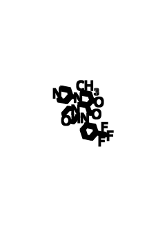 Cc1cc(=O)c(C(=O)Nc2cccc(C(F)(F)F)c2)c(N2CCOCC2)n1-c1ccncc1